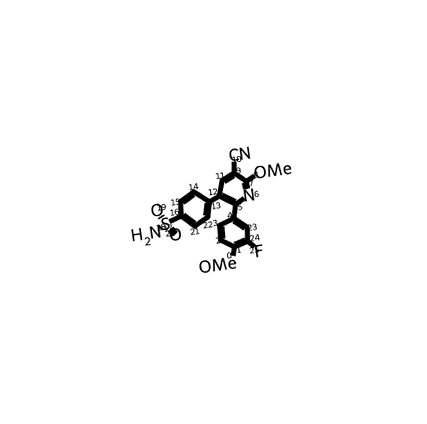 COc1ccc(-c2nc(OC)c(C#N)cc2-c2ccc(S(N)(=O)=O)cc2)cc1F